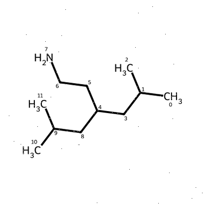 CC(C)CC(CCN)CC(C)C